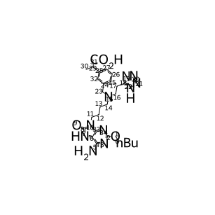 CCCCOc1nc(N)c2[nH]c(=O)n(CCCCN(CCc3nnn[nH]3)Cc3cccc(C(C)C(=O)O)c3)c2n1